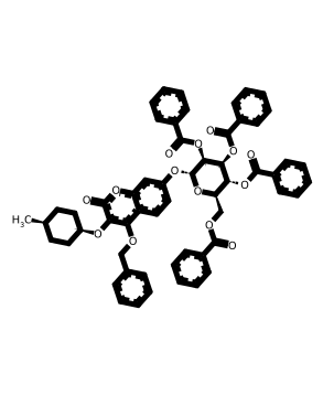 C[C@H]1CC[C@@H](Oc2c(OCc3ccccc3)c3ccc(O[C@H]4O[C@H](COC(=O)c5ccccc5)[C@@H](OC(=O)c5ccccc5)[C@H](OC(=O)c5ccccc5)[C@@H]4OC(=O)c4ccccc4)cc3oc2=O)CC1